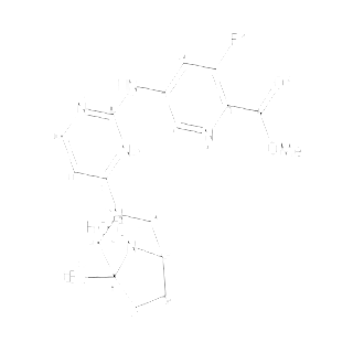 COC(=O)c1ncc(Nc2nccc(N3CC4CCC(C(C)(C)C)(C3)N4C(=O)O)n2)cc1F